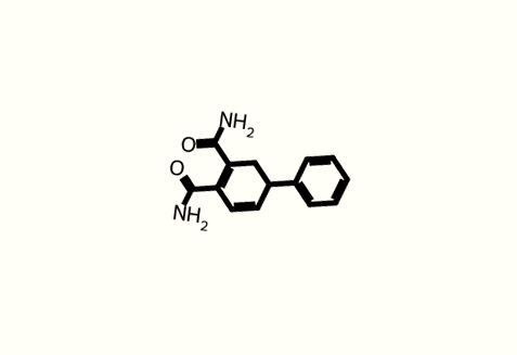 NC(=O)C1=C(C(N)=O)CC(c2ccccc2)C=C1